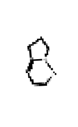 C1=C2CCCN2NCC1